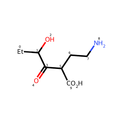 CCC(O)C(=O)C(CCN)C(=O)O